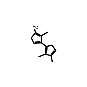 CC1=CCC(C2=CC[C]([Fe])=C2C)=C1C